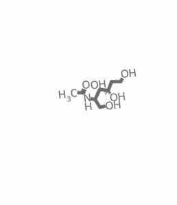 CC(=O)NC(CO)C(O)[C@H](O)CCO